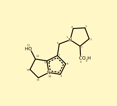 O=C(O)C1CCCN1Cc1ccn2c1C(O)CC2